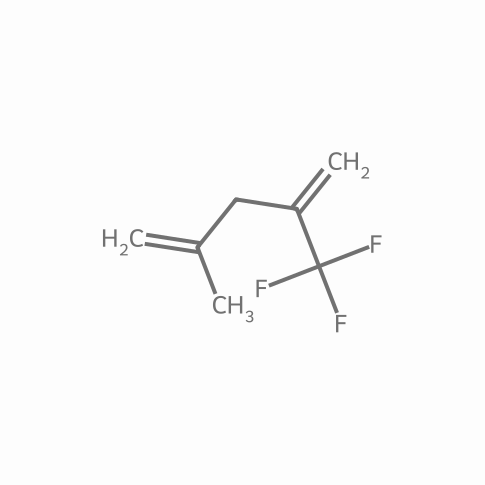 C=C(C)CC(=C)C(F)(F)F